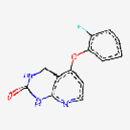 O=C1NCc2c(Oc3ccccc3F)ccnc2N1